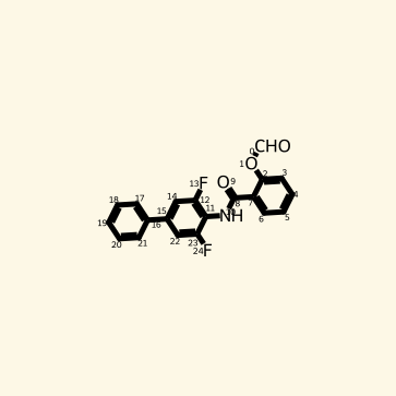 O=COc1ccccc1C(=O)Nc1c(F)cc(-c2ccccc2)cc1F